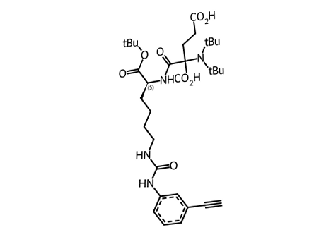 C#Cc1cccc(NC(=O)NCCCC[C@H](NC(=O)C(CCC(=O)O)(C(=O)O)N(C(C)(C)C)C(C)(C)C)C(=O)OC(C)(C)C)c1